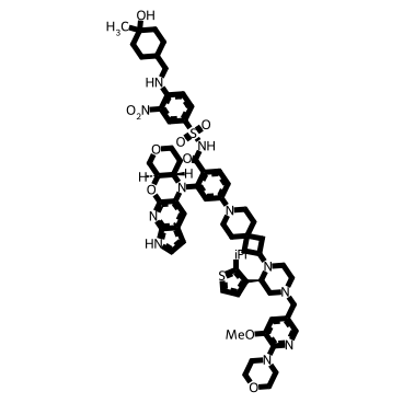 COc1cc(CN2CCN(C3CC4(CCN(c5ccc(C(=O)NS(=O)(=O)c6ccc(NCC7CCC(C)(O)CC7)c([N+](=O)[O-])c6)c(N6c7cc8cc[nH]c8nc7O[C@H]7COCC[C@@H]76)c5)CC4)C3)[C@H](c3ccsc3C(C)C)C2)cnc1N1CCOCC1